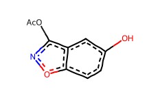 CC(=O)Oc1noc2ccc(O)cc12